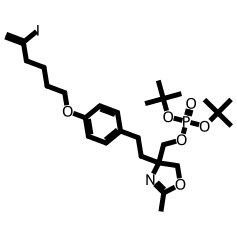 C=C(I)CCCCOc1ccc(CCC2(COP(=O)(OC(C)(C)C)OC(C)(C)C)COC(C)=N2)cc1